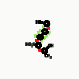 C#Cc1cc(C)cc(Oc2ccc(Oc3c(F)c(F)c(-c4c(F)c(F)c(Oc5cccc(C#C)c5)c(F)c4F)c(F)c3F)c(S(=O)(=O)O)c2)c1